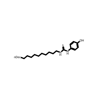 CCCCCCCCCCCCCCCCCCCCNC(=S)Nc1ccc(O)cc1